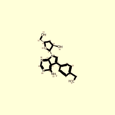 CCc1ccc(-c2cn([C@@H]3O[C@H](CO)C[C@H]3O)c3ncnc(N)c23)cc1